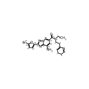 CCN(CCC1=CCCC=N1)C(=O)c1cc(N)c2nc(-c3ccc(Br)o3)nn2c1